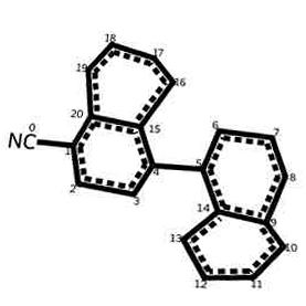 N#Cc1ccc(-c2cccc3ccccc23)c2ccccc12